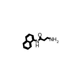 NCCC(=O)Nc1cccc2ccccc12